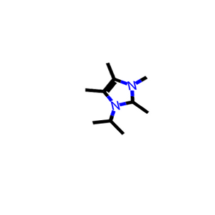 CC1=C(C)N(C(C)C)C(C)N1C